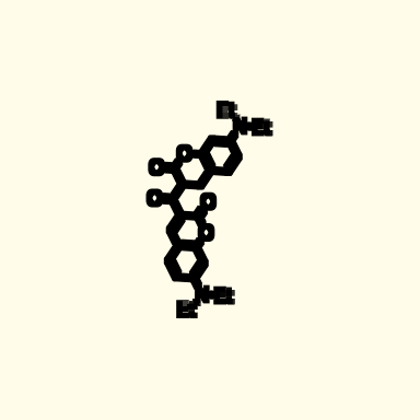 CCN(CC)c1ccc2c(c1)OC(=O)C(C(=O)c1cc3ccc(N(CC)CC)cc3oc1=O)C2